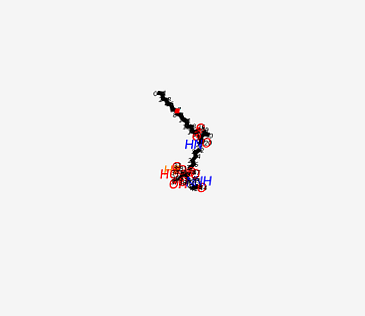 CCCCCCCCCCCCCCCC(=O)OC(C(=O)NCCCCCCOC1C(O[PH](=O)O)[C@@H](CO)O[C@H]1n1ccc(=O)[nH]c1=O)C(C)C